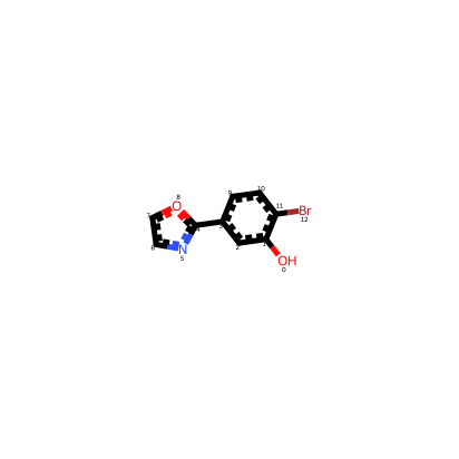 Oc1cc(-c2ncco2)ccc1Br